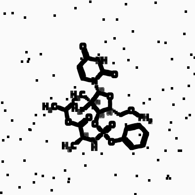 CC(C)OC(=O)[C@H](C)NP(=O)(Oc1ccccc1)O[C@@H]1[C@@H](COP)O[C@@H](n2ccc(=O)[nH]c2=O)[C@]1(C)F